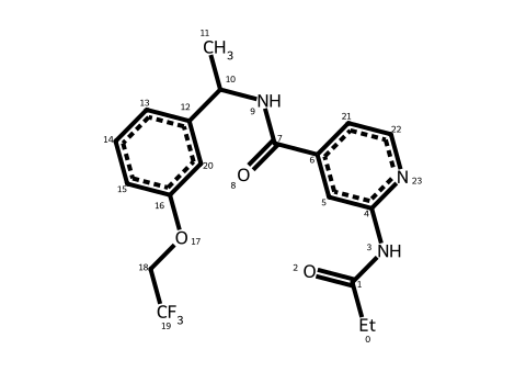 CCC(=O)Nc1cc(C(=O)NC(C)c2cccc(OCC(F)(F)F)c2)ccn1